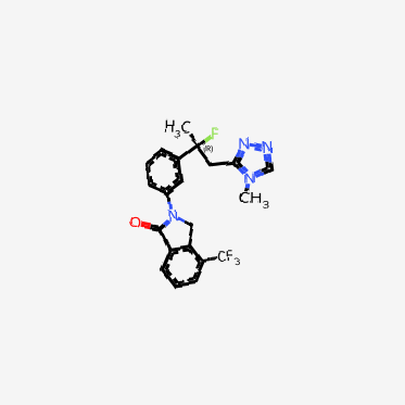 Cn1cnnc1C[C@@](C)(F)c1cccc(N2Cc3c(cccc3C(F)(F)F)C2=O)c1